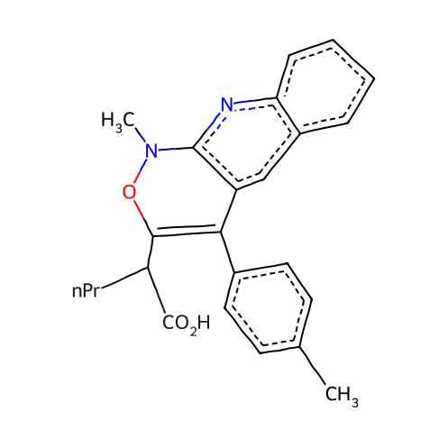 CCCC(C(=O)O)C1=C(c2ccc(C)cc2)c2cc3ccccc3nc2N(C)O1